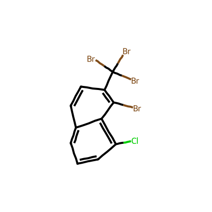 Clc1cccc2ccc(C(Br)(Br)Br)c(Br)c12